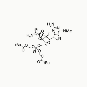 CNc1nc(N)nc2c1N=CC2C1O[C@H](COP(=O)(OCOC(=O)C(C)(C)C)OCOC(=O)C(C)(C)C)[C@@H](OC(=O)[C@@H](N)C(C)C)[C@@]1(C)F